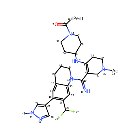 CCCCCC(=O)N1CCC(NC2=C(C(=N)N3CCCc4cc(-c5cnn(C)c5)c(C(F)F)cc43)CN(C(C)=O)CC2)CC1